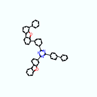 c1ccc(-c2ccc(-c3nc(-c4cccc(-c5cccc6c5oc5c(-c7ccccc7)cccc56)c4)nc(-c4ccc5c(c4)oc4ccccc45)n3)cc2)cc1